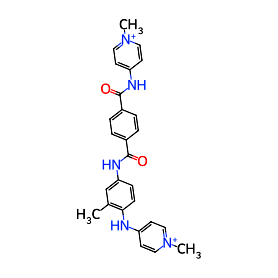 Cc1cc(NC(=O)c2ccc(C(=O)Nc3cc[n+](C)cc3)cc2)ccc1Nc1cc[n+](C)cc1